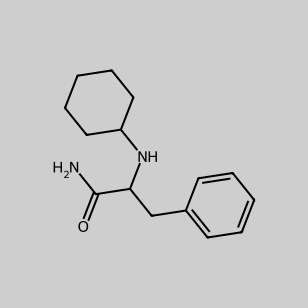 NC(=O)C(Cc1ccccc1)NC1CCCCC1